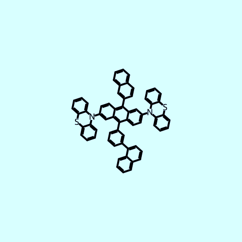 c1cc(-c2cccc3ccccc23)cc(-c2c3ccc(N4c5ccccc5Sc5ccccc54)cc3c(-c3ccc4ccccc4c3)c3ccc(N4c5ccccc5Sc5ccccc54)cc23)c1